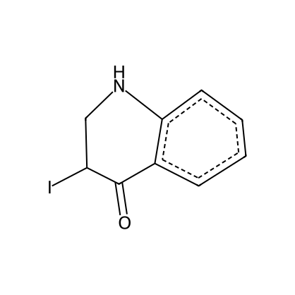 O=C1c2ccccc2NCC1I